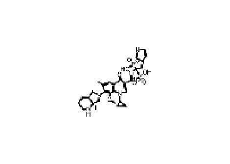 COc1c(N2CC3CCCN[C@H]3C2)c(C)cc2c(=O)c(C(=O)OC(Cn3ccnc3)(P(=O)(O)O)P(=O)(O)O)cn(C3CC3)c12